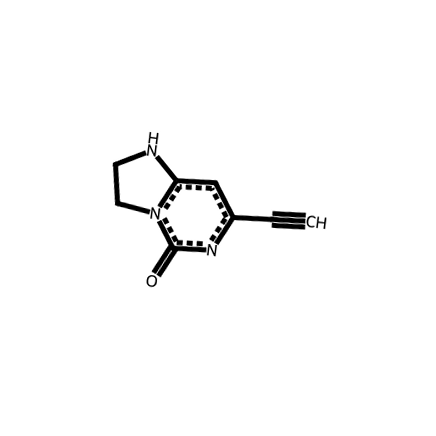 C#Cc1cc2n(c(=O)n1)CCN2